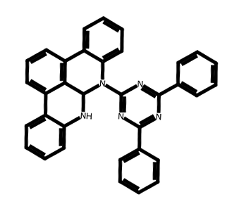 c1ccc(-c2nc(-c3ccccc3)nc(N3c4ccccc4-c4cccc5c4C3Nc3ccccc3-5)n2)cc1